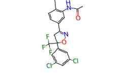 CC(=O)Nc1cc(C2=NOC(c3cc(Cl)cc(Cl)c3)(C(F)(F)F)C2)ccc1C